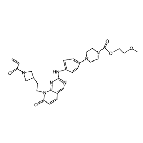 C=CC(=O)N1CC(CCn2c(=O)ccc3cnc(Nc4ccc(N5CCN(C(=O)OCCOC)CC5)cc4)nc32)C1